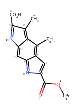 CCCOC(=O)C1=Cc2c(C)c3c(cc2=N1)N=C(C(=O)O)C=3C